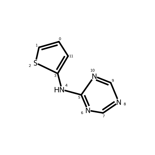 c1csc(Nc2ncncn2)c1